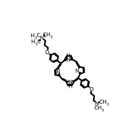 CN(C)CCCOc1ccc(-c2c3nc(cc4ccc([nH]4)c(-c4ccc(OCCC[N+](C)(C)C)cc4)c4nc(cc5ccc2[nH]5)C=C4)C=C3)cc1